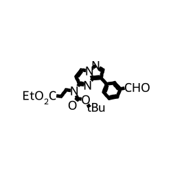 CCOC(=O)CCN(C(=O)OC(C)(C)C)c1ccn2ncc(-c3cccc(C=O)c3)c2n1